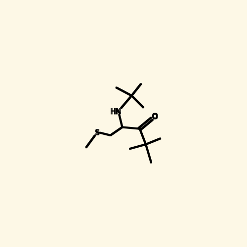 CSCC(NC(C)(C)C)C(=O)C(C)(C)C